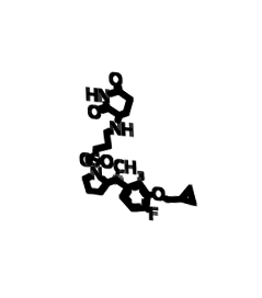 C[C@H](c1ccc(F)c(OCC2CC2)c1)C1CCCN1S(=O)(=O)CCCNC1CCC(=O)NC1=O